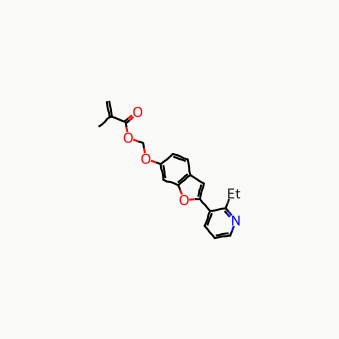 C=C(C)C(=O)OCOc1ccc2cc(-c3cccnc3CC)oc2c1